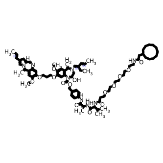 C=C1c2cc(OC)c(OCCCOc3cc4c(cc3OC)C(=C)N3C=C(/C=C/C)C[C@H]3C=N4)cc2N(C(=O)OCc2ccc(NC(=O)[C@H](C)NC(=O)[C@@H](NC(=O)CCOCCOCCOCCOCCNC(=O)CC3CCCCCCCCCC3)C(C)C)cc2)[C@@H](O)CN1/C=C(/C=C/C)CC